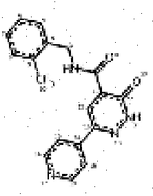 O=C(NCc1ccccc1C(F)(F)F)c1cc(-c2ccncc2)n[nH]c1=O